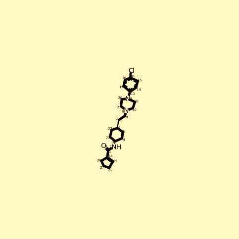 O=C(N[C@H]1CC[C@H](CCN2CCN(c3ccc(Cl)cc3)CC2)CC1)C1=CCCC1